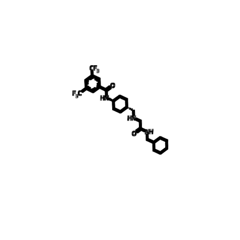 O=C(CNC[C@H]1CC[C@H](NC(=O)c2cc(C(F)(F)F)cc(C(F)(F)F)c2)CC1)NCC1CCCCC1